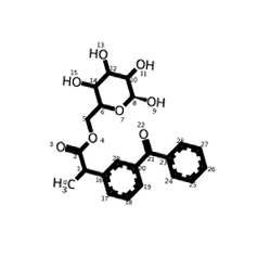 CC(C(=O)OCC1O[C@H](O)C(O)C(O)C1O)c1cccc(C(=O)c2ccccc2)c1